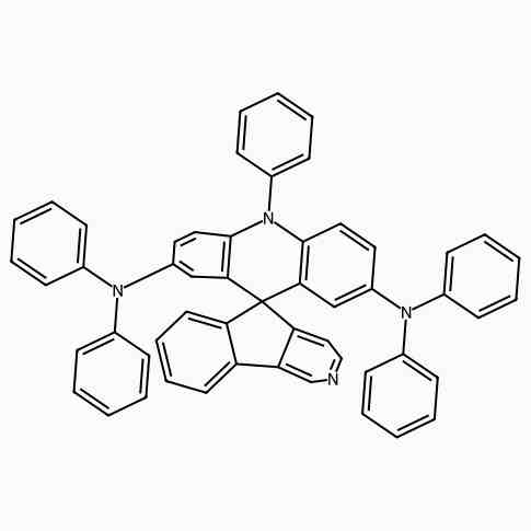 c1ccc(N(c2ccccc2)c2ccc3c(c2)C2(c4ccccc4-c4cnccc42)c2cc(N(c4ccccc4)c4ccccc4)ccc2N3c2ccccc2)cc1